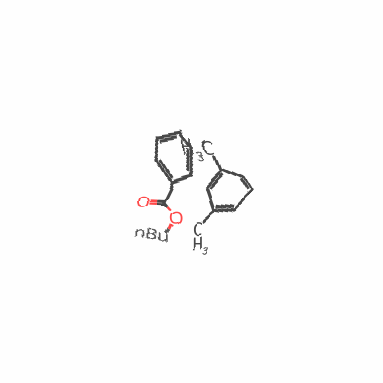 CCCCOC(=O)c1ccccc1.Cc1cccc(C)c1